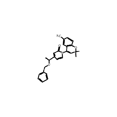 CC(OCc1ccccc1)c1ccn(C2=CC(C)(C)Oc3ccc(C#N)cc32)c(=O)c1